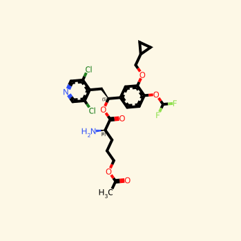 CC(=O)OCCC[C@@H](N)C(=O)O[C@@H](Cc1c(Cl)cncc1Cl)c1ccc(OC(F)F)c(OCC2CC2)c1